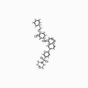 O=S(=O)(c1ccc(-c2ccc3nncc(Nc4ccc(OCc5ccccc5)c(Cl)c4)c3c2)cc1)N1CCOCC1